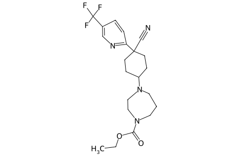 CCOC(=O)N1CCCN(C2CCC(C#N)(c3ccc(C(F)(F)F)cn3)CC2)CC1